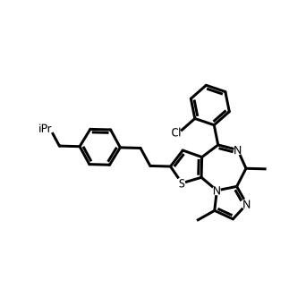 Cc1cnc2n1-c1sc(CCc3ccc(CC(C)C)cc3)cc1C(c1ccccc1Cl)=NC2C